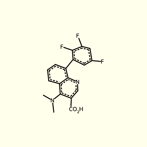 CN(C)c1c(C(=O)O)cnc2c(-c3cc(F)cc(F)c3F)cccc12